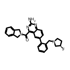 Nc1nc(C(=O)N2Cc3ccccc3C2)c2cc(-c3ccccc3CN3CC[C@@H](F)C3)ccc2n1